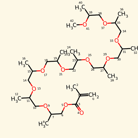 C=C(C)C(=O)OCC(C)OCC(C)OCC(C)OCC(C)OCC(C)OCC(C)OCC(C)OCC(C)OCC(C)OC